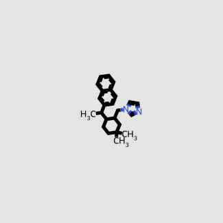 CC(c1ccc2ccccc2c1)C1CCC(C)(C)CC1Cn1ccnc1